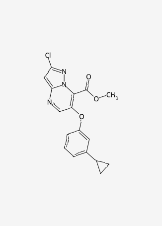 COC(=O)c1c(Oc2cccc(C3CC3)c2)cnc2cc(Cl)nn12